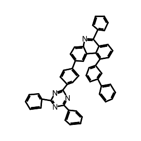 c1ccc(-c2cccc(-c3cccc4c(-c5ccccc5)nc5ccc(-c6ccc(-c7nc(-c8ccccc8)nc(-c8ccccc8)n7)cc6)cc5c34)c2)cc1